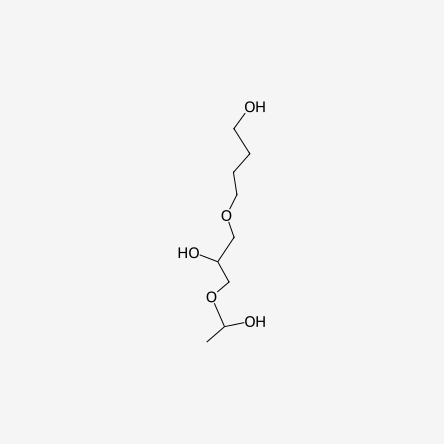 CC(O)OCC(O)COCCCCO